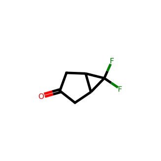 O=C1CC2C(C1)C2(F)F